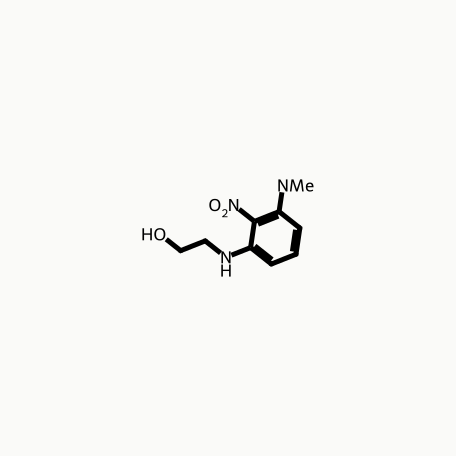 CNc1cccc(NCCO)c1[N+](=O)[O-]